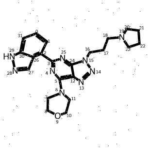 c1cc(-c2nc(N3CCOCC3)c3nnn(CCCN4CCCC4)c3n2)c2cn[nH]c2c1